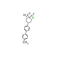 Cc1ccc(-c2ccc(C3CCC(C)(C(F)(F)F)CC3)cc2)cc1